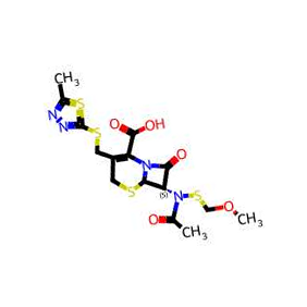 COCSN(C(C)=O)[C@H]1C(=O)N2C(C(=O)O)=C(CSc3nnc(C)s3)CSC12